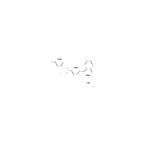 Cc1c(CC(=O)O)cc2ccc(Cl)cc2c1-c1ccc(S(=O)(=O)N(C)c2cccc(Cl)c2)cc1